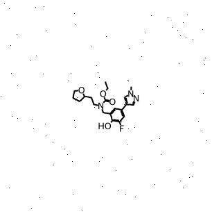 CCOC(=O)N(CCC1CCCO1)Cc1cc(-c2cnn(C)c2)cc(F)c1O